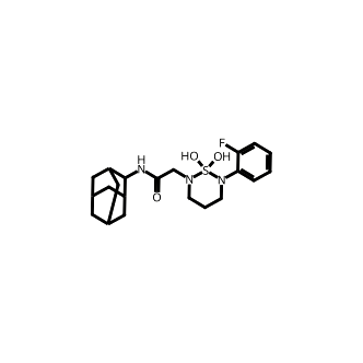 O=C(CN1CCCN(c2ccccc2F)S1(O)O)NC1C2CC3CC(C2)CC1C3